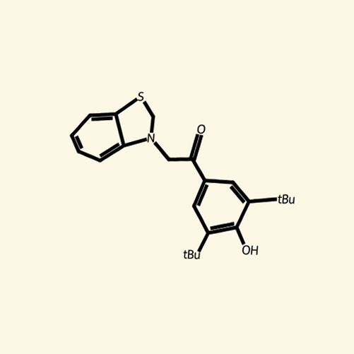 CC(C)(C)c1cc(C(=O)CN2CSc3ccccc32)cc(C(C)(C)C)c1O